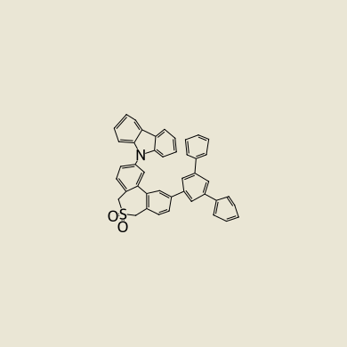 O=S1(=O)Cc2ccc(-c3cc(-c4ccccc4)cc(-c4ccccc4)c3)cc2-c2cc(-n3c4ccccc4c4ccccc43)ccc2C1